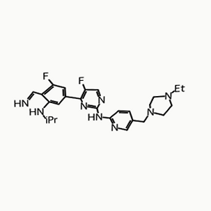 CCN1CCN(Cc2ccc(Nc3ncc(F)c(-c4cc(F)c(C=N)c(NC(C)C)c4)n3)nc2)CC1